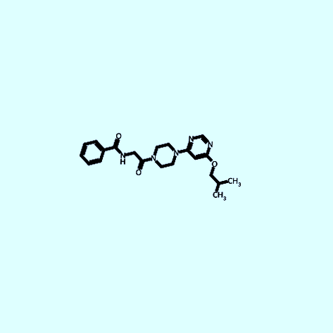 CC(C)COc1cc(N2CCN(C(=O)CNC(=O)c3ccccc3)CC2)ncn1